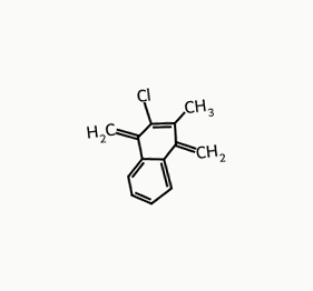 C=c1c(C)c(Cl)c(=C)c2ccccc12